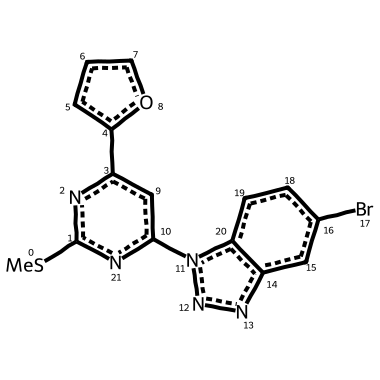 CSc1nc(-c2ccco2)cc(-n2nnc3cc(Br)ccc32)n1